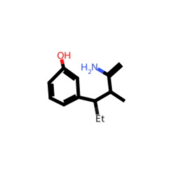 C=C(N)C(C)C(CC)c1cccc(O)c1